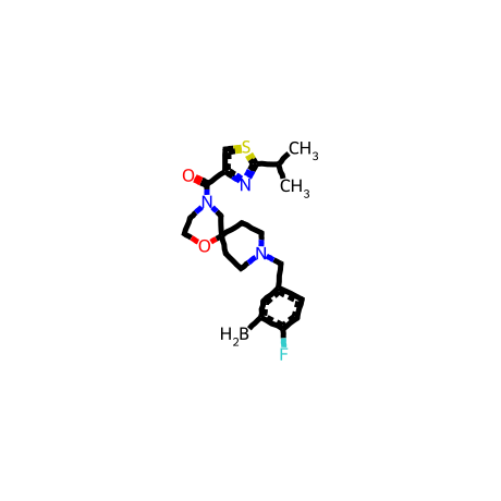 Bc1cc(CN2CCC3(CC2)CN(C(=O)c2csc(C(C)C)n2)CCO3)ccc1F